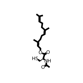 CC(=O)N[C@@H](CS)C(=O)OCC=C(C)CCC=C(C)CCC=C(C)C